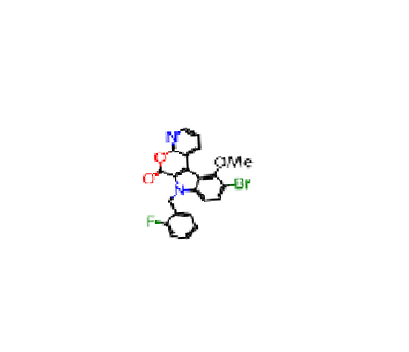 COc1c(Br)ccc2c1c1c3cccnc3oc(=O)c1n2Cc1ccccc1F